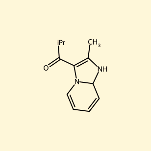 CC1=C(C(=O)C(C)C)N2C=CC=CC2N1